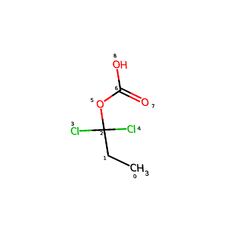 CCC(Cl)(Cl)OC(=O)O